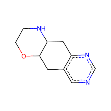 c1ncc2c(n1)CC1NCCOC1C2